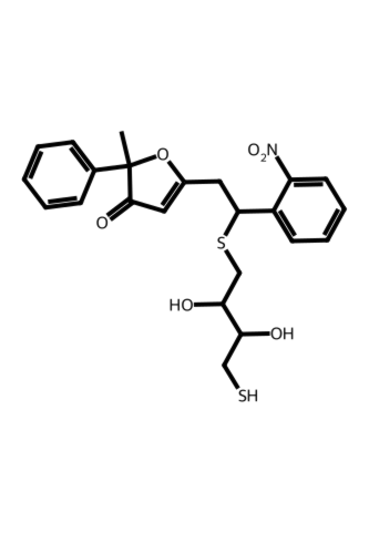 CC1(c2ccccc2)OC(CC(SCC(O)C(O)CS)c2ccccc2[N+](=O)[O-])=CC1=O